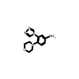 Nc1ccc(N2CCOCC2)c(-n2cnnc2)c1